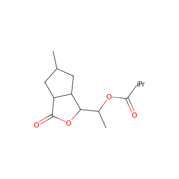 CC1CC2C(=O)OC(C(C)OC(=O)C(C)C)C2C1